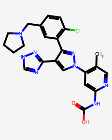 Cc1cnc(NC(=O)O)cc1-n1cc(-c2nc[nH]n2)c(-c2cc(CN3CCCC3)ccc2Cl)n1